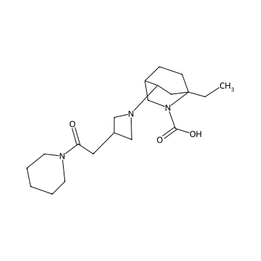 CCC12CCC(CN1C(=O)O)C(N1CC(CC(=O)N3CCCCC3)C1)C2